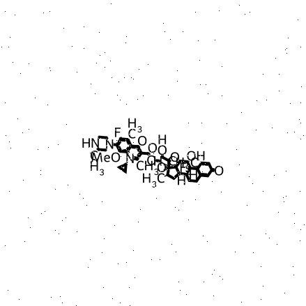 COc1c(N2CCNC(C)C2)c(F)c(C)c2c(=O)c(C(=O)OCO[C@]3(C(=O)CO)[C@@H](C)C[C@H]4[C@@H]5CCC6=CC(=O)C=C[C@]6(C)[C@@]5(F)[C@@H](O)C[C@@]43C)c(C)n(C3CC3)c12